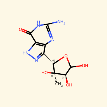 C[C@@]1(O)[C@H](O)C(O)O[C@H]1c1n[nH]c2c(=O)[nH]c(N)nc12